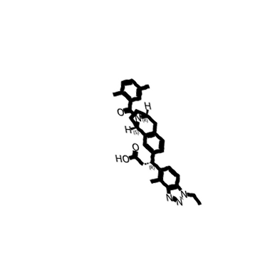 CCn1nnc2c(C)c([C@H](CC(=O)O)c3ccc4c(c3)[C@@H]3CC[C@H](C4)N3C(=O)c3cc(C)ccc3C)ccc21